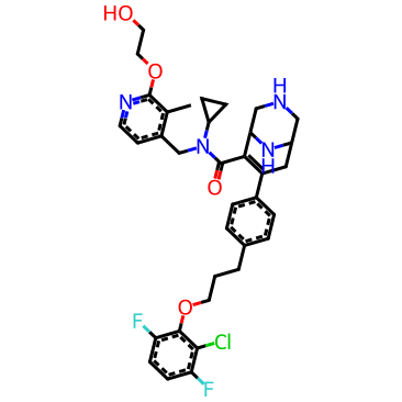 Cc1c(CN(C(=O)C2=C(c3ccc(CCCOc4c(F)ccc(F)c4Cl)cc3)CC3CNCC2N3)C2CC2)ccnc1OCCO